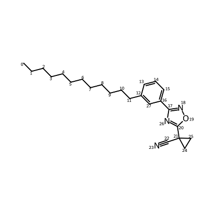 CCCCCCCCCCCCc1cccc(-c2noc(C3(C#N)CC3)n2)c1